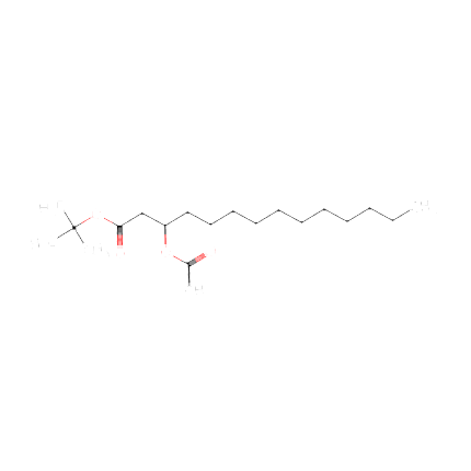 CCCCCCCCCCCC(CC(=O)OC(C)(C)C)OC(C)=O